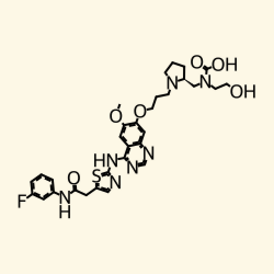 COc1cc2c(Nc3ncc(CC(=O)Nc4cccc(F)c4)s3)ncnc2cc1OCCCN1CCC[C@H]1CN(CCO)C(=O)O